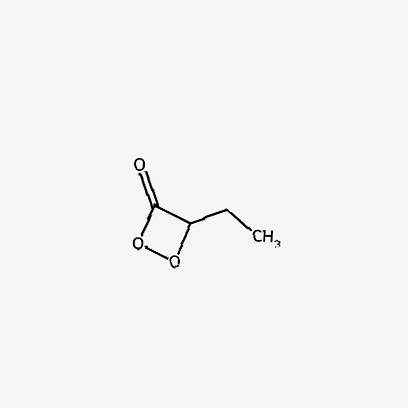 CCC1OOC1=O